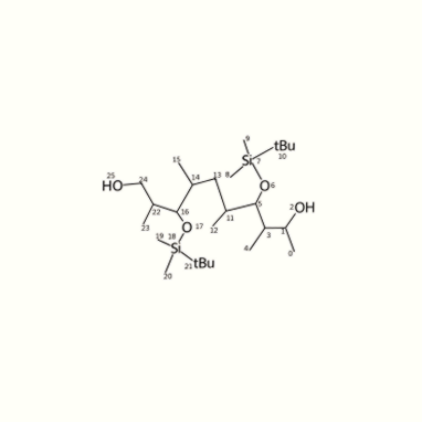 CC(O)C(C)C(O[Si](C)(C)C(C)(C)C)C(C)CC(C)C(O[Si](C)(C)C(C)(C)C)C(C)CO